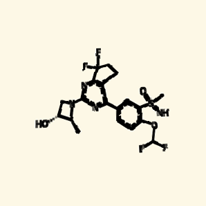 C[C@H]1[C@H](O)CN1c1nc(-c2ccc(OC(F)F)c(S(C)(=N)=O)c2)c2c(n1)C(F)(F)CC2